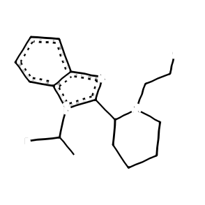 CCCN1CCCCC1c1nc2ccccc2n1C(F)F